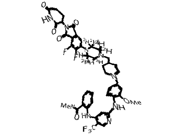 [2H]C1([2H])N(CC2CCN(c3ccc(Nc4cc(Nc5ccccc5C(=O)NC)c(C(F)(F)F)cn4)c(OC)c3)CC2)C([2H])([2H])C([2H])([2H])N(c2cc3c(c(F)c2F)C(=O)N(C2CCC(=O)NC2=O)C3=O)C1([2H])[2H]